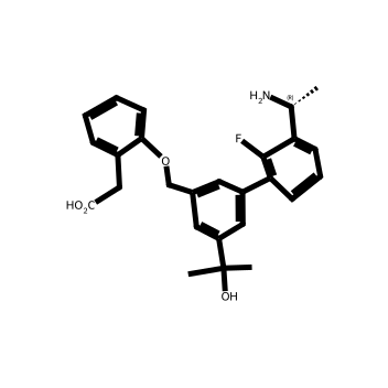 C[C@@H](N)c1cccc(-c2cc(COc3ccccc3CC(=O)O)cc(C(C)(C)O)c2)c1F